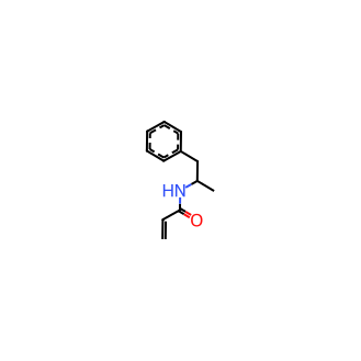 C=CC(=O)NC(C)Cc1ccccc1